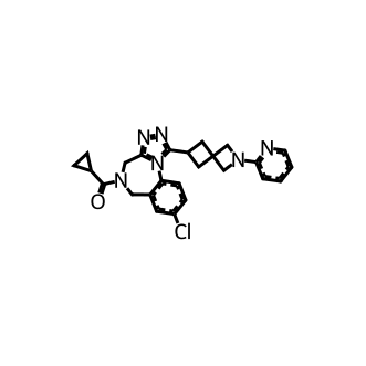 O=C(C1CC1)N1Cc2cc(Cl)ccc2-n2c(nnc2C2CC3(C2)CN(c2ccccn2)C3)C1